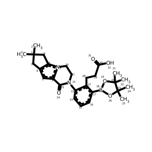 CC1(C)Cc2cc3n(c2C1)CCN(c1cccc(B2OC(C)(C)C(C)(C)O2)c1CCC(=O)O)C3=O